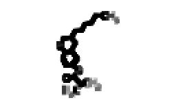 C=C(C)C(=O)Oc1ccc2c(c1)CC(CCCCCC)CO2